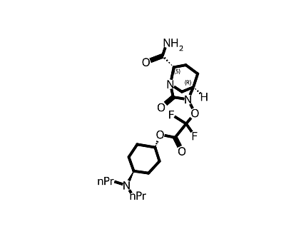 CCCN(CCC)[C@H]1CC[C@H](OC(=O)C(F)(F)ON2C(=O)N3C[C@H]2CC[C@H]3C(N)=O)CC1